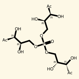 CC(=O)[C@@H](O)[C@H](O)COP(=O)(OC[C@@H](O)[C@H](O)C(C)=O)OC[C@@H](O)[C@H](O)C(C)=O